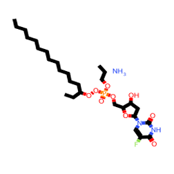 CCCCCCCCCCCCCC(CC)OOP(=O)(OCCC)OCC1OC(n2cc(F)c(=O)[nH]c2=O)CC1O.N